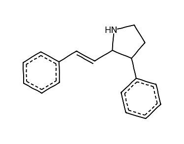 C(=CC1NCCC1c1ccccc1)c1ccccc1